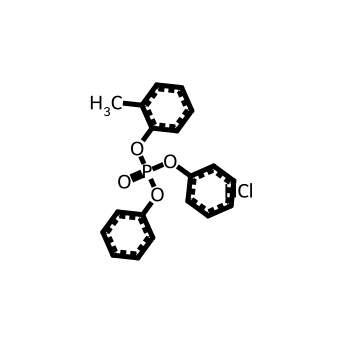 Cc1ccccc1OP(=O)(Oc1ccccc1)Oc1ccccc1.Cl